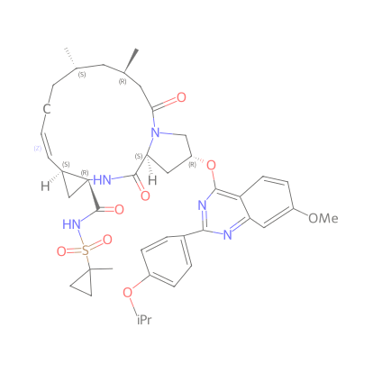 COc1ccc2c(O[C@@H]3C[C@H]4C(=O)N[C@]5(C(=O)NS(=O)(=O)C6(C)CC6)C[C@H]5/C=C\CC[C@H](C)C[C@@H](C)CC(=O)N4C3)nc(-c3ccc(OC(C)C)cc3)nc2c1